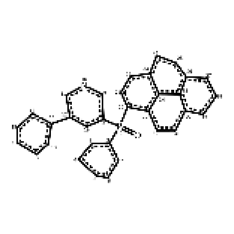 O=P(c1ccccc1)(c1cncc(-c2ccccc2)c1)c1ccc2ccc3cccc4ccc1c2c34